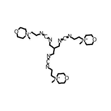 C[N+]1(CCN=C=NCC(CN=C=NCC[N+]2(C)CCOCC2)CN=C=NCC[N+]2(C)CCOCC2)CCOCC1